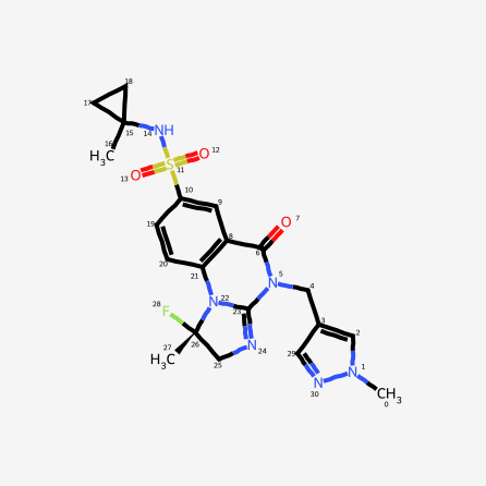 Cn1cc(CN2C(=O)c3cc(S(=O)(=O)NC4(C)CC4)ccc3N3C2=NC[C@]3(C)F)cn1